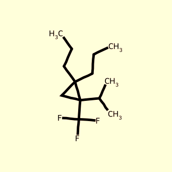 CCCC1(CCC)CC1(C(C)C)C(F)(F)F